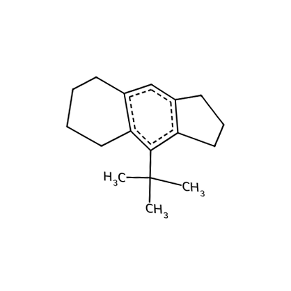 CC(C)(C)c1c2c(cc3c1CCC3)CCCC2